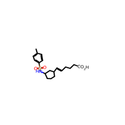 Cc1ccc(S(=O)(=O)NC2CCCC(/C=C/CCCC(=O)O)C2)cc1